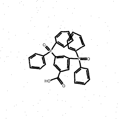 O=C(O)c1cc(P(=O)(c2ccccc2)c2ccccc2)cc(P(=O)(c2ccccc2)c2ccccc2)c1